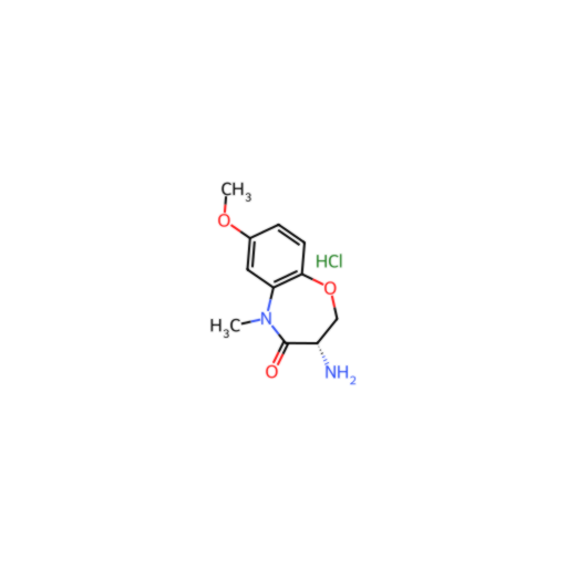 COc1ccc2c(c1)N(C)C(=O)[C@@H](N)CO2.Cl